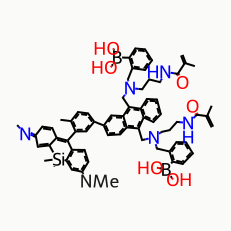 C=C(C)C(=O)NCCCN(Cc1ccccc1B(O)O)Cc1c2ccccc2c(CN(CCCNC(=O)C(=C)C)Cc2ccccc2B(O)O)c2cc(-c3ccc(C)c(C4=C5C=C/C(=N\C)C=C5[Si](C)(C)c5cc(NC)ccc54)c3)ccc12